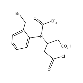 O=C(O)CC(CC(=O)Cl)N(C(=O)C(F)(F)F)c1ccccc1CBr